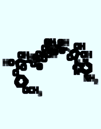 COc1ccc(O[C@@H]2O[C@H](COP(=O)(O)OP(=O)(O)OP(=O)(O)OP(=O)(O)OC[C@H]3O[C@@H](n4cnc5c(N)ccnc54)[C@H](O)[C@@H]3O)[C@@H](O)[C@H]2O)cc1